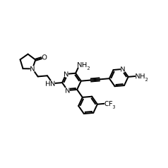 Nc1ccc(C#Cc2c(N)nc(NCCN3CCCC3=O)nc2-c2cccc(C(F)(F)F)c2)cn1